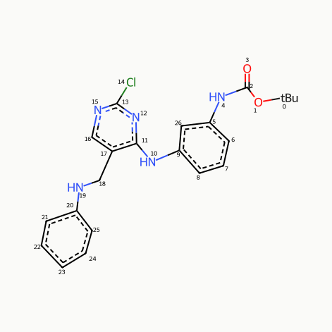 CC(C)(C)OC(=O)Nc1cccc(Nc2nc(Cl)ncc2CNc2ccccc2)c1